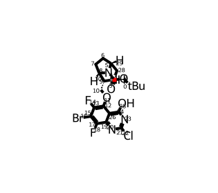 CC(C)(C)OC(=O)N1[C@@H]2CC[C@H]1[C@@H](COc1c(F)c(Br)c(F)c3nc(Cl)nc(O)c13)NC2